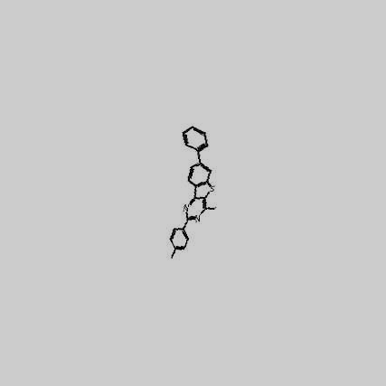 Cc1ccc(-c2nc(C)c3sc4cc(-c5ccccc5)ccc4c3n2)cc1